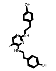 Oc1ccc(CCNc2ncc(F)c(NCCc3ccc(O)cc3)n2)cc1